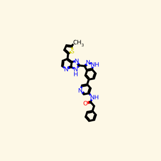 Cc1ccc(-c2ccnc3[nH]c(-c4n[nH]c5ccc(-c6cncc(NC(=O)Cc7ccccc7)c6)cc45)nc23)s1